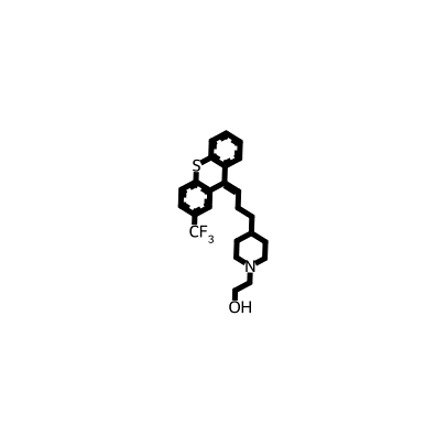 OCCN1CCC(CCC=C2c3ccccc3Sc3ccc(C(F)(F)F)cc32)CC1